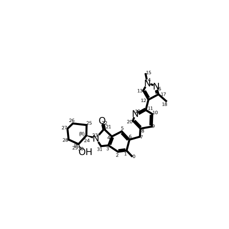 Cc1cc2c(cc1Cc1ccc(-c3cn(C)nc3C)nc1)C(=O)N([C@@H]1CCCC[C@H]1O)C2